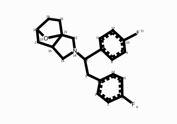 Fc1ccc(CC(c2ccc(F)cc2)N2CC3CC4CCC3(C2)O4)cc1